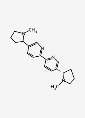 CN1CCCC1c1ccc(-c2ccc([C@@H]3CCCN3C)cn2)nc1